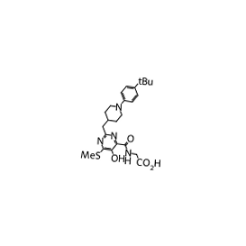 CSc1nc(CC2CCN(c3ccc(C(C)(C)C)cc3)CC2)nc(C(=O)NCC(=O)O)c1O